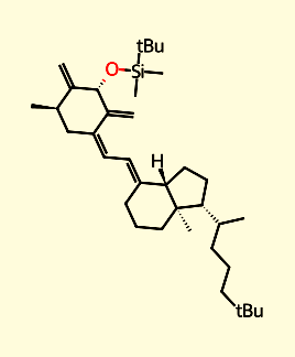 C=C1/C(=C\C=C2/CCC[C@]3(C)[C@@H](C(C)CCCC(C)(C)C)CC[C@@H]23)C[C@@H](C)C(=C)[C@@H]1O[Si](C)(C)C(C)(C)C